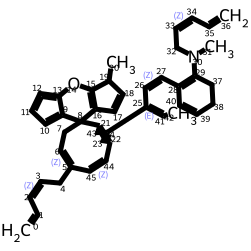 C=C/C=C\CC1=C/CC2(C3=CC=C=C3OC3=C2C=CC3C)C2=C(C=C(C(/C=C\C3=C(N(C)C/C=C\C=C)CCC=C3)=C/C)C2)/C=C\1